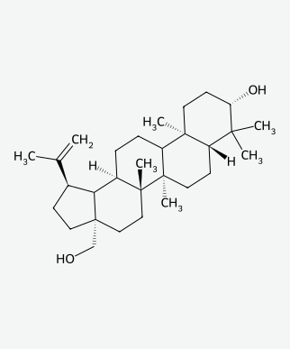 C=C(C)[C@@H]1CC[C@]2(CO)CC[C@]3(C)[C@H](CCC4[C@@]5(C)CC[C@H](O)C(C)(C)[C@@H]5CC[C@]43C)C12